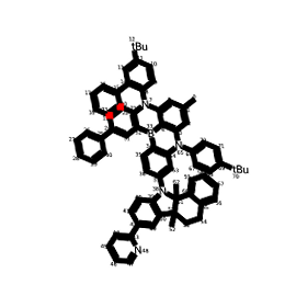 Cc1cc2c3c(c1)N(c1ccc(C(C)(C)C)cc1-c1ccccc1)c1ccc(-c4ccccc4)cc1B3c1ccc(N3c4ccc(-c5ccccn5)cc4C4(C)CCc5ccccc5C34C)cc1N2c1ccc(C(C)(C)C)cc1